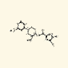 CCc1[nH]c(C(=O)N[C@@H]2CCN(c3ccnc(C(=O)O)c3)C[C@@H]2OC)nc1Cl